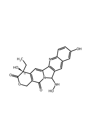 CC[C@@]1(O)C(=O)OCc2c1cc1n(c2=O)C(NO)c2cc3cc(O)ccc3nc2-1